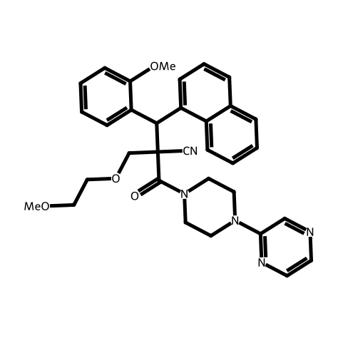 COCCOCC(C#N)(C(=O)N1CCN(c2cnccn2)CC1)C(c1ccccc1OC)c1cccc2ccccc12